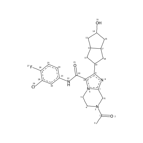 CC(=O)N1CCn2c(nc(C3CC4CC(O)CC4C3)c2C(=O)Nc2ccc(F)c(Cl)c2)C1